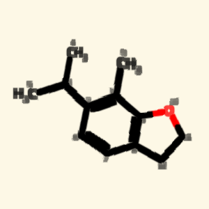 Cc1c(C(C)C)c[c]c2c1OCC2